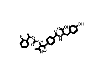 Cc1noc(-c2ccc(C(=O)NC(Cc3ccc(O)cc3)C(=O)O)cc2)c1NC(=O)OC(C)c1ccccc1F